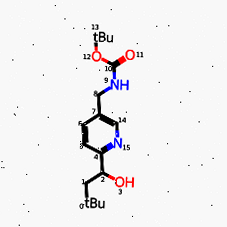 CC(C)(C)CC(O)c1ccc(CNC(=O)OC(C)(C)C)cn1